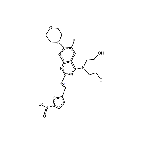 O=[N+]([O-])c1ccc(/C=C/c2nc(N(CCO)CCO)c3cc(F)c(N4CCOCC4)cc3n2)o1